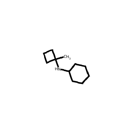 CC1(NC2CCCCC2)CCC1